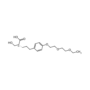 CCOCCOCCOc1ccc(CCC[C@H](CO)C(=O)O)cc1